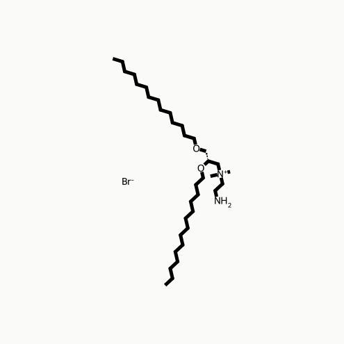 CCCCCCCCCCCCCCOC[C@H](C[N+](C)(C)CCN)OCCCCCCCCCCCCCC.[Br-]